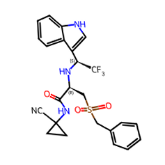 N#CC1(NC(=O)[C@H](CS(=O)(=O)Cc2ccccc2)N[C@@H](c2c[nH]c3ccccc23)C(F)(F)F)CC1